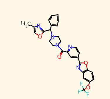 Cc1coc(C(c2ccccc2)N2CCN(C(=O)c3cc(-c4nc5cc(OC(F)(F)F)ccc5o4)ccn3)CC2)n1